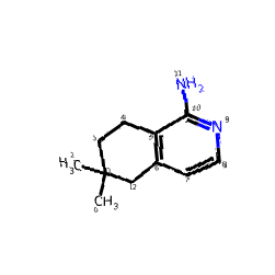 CC1(C)CCc2c(ccnc2N)C1